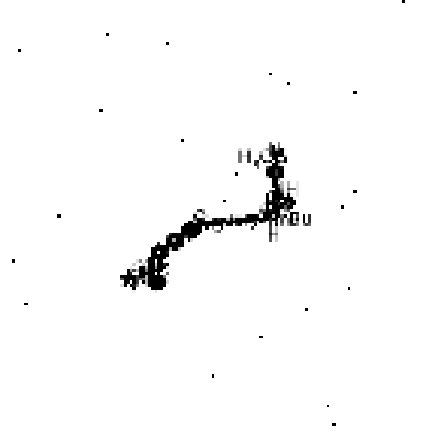 CCCCC(NC(=O)CCOCCOCCOCCC(=O)N1CCN(c2ccc(-c3ccc4c(c3)C(=O)N(C(C(=O)Nc3nccs3)c3ccccc3)C4)cc2)CC1)C(=O)N1CCCC1C(=O)NCc1ccc(-c2scnc2C)cc1